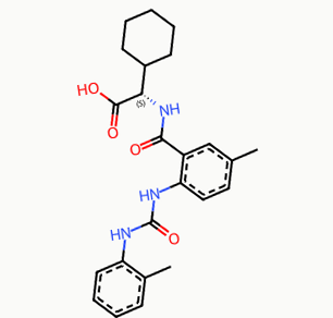 Cc1ccc(NC(=O)Nc2ccccc2C)c(C(=O)N[C@H](C(=O)O)C2CCCCC2)c1